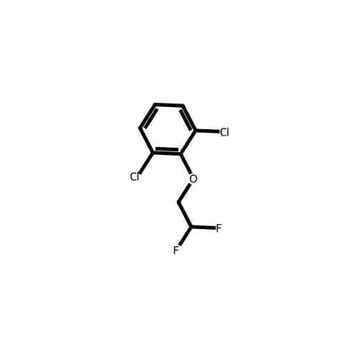 FC(F)COc1c(Cl)cccc1Cl